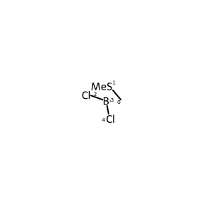 CSC.Cl[B]Cl